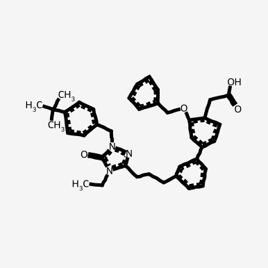 CCn1c(CCCc2cccc(-c3ccc(CC(=O)O)c(OCc4ccccc4)c3)c2)nn(Cc2ccc(C(C)(C)C)cc2)c1=O